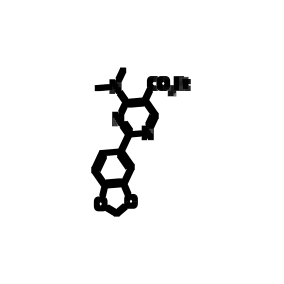 CCOC(=O)c1cnc(-c2ccc3c(c2)OCO3)nc1N(C)C